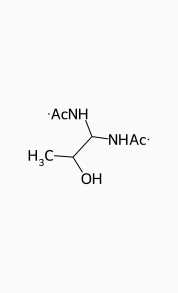 CC(=O)[N]C([N]C(C)=O)C(C)O